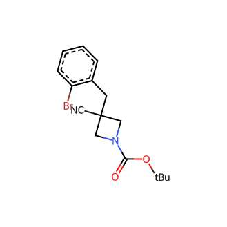 CC(C)(C)OC(=O)N1CC(C#N)(Cc2ccccc2Br)C1